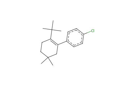 CC1(C)CCC(C(C)(C)C)=C(c2ccc(Cl)cc2)C1